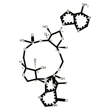 Nc1ncnc2c1ncn2[C@@H]1O[C@@H]2CCOP(=O)(S)O[C@]3(n4cc(F)c5c(=O)[nH]cnc54)CO[C@H](COP(=O)(S)O[C@H]2[C@H]1O)[C@H]3O